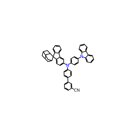 N#Cc1cccc(-c2ccc(N(c3ccc(-n4c5ccccc5c5ccccc54)cc3)c3ccc4c(c3)-c3ccccc3C43C4CC5CC(C4)CC3C5)cc2)c1